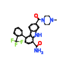 CN1CCN(C(=O)c2ccc3c(c2)[nH]c2c(C(N)=O)ccc(-c4ccccc4C(F)(F)F)c23)CC1